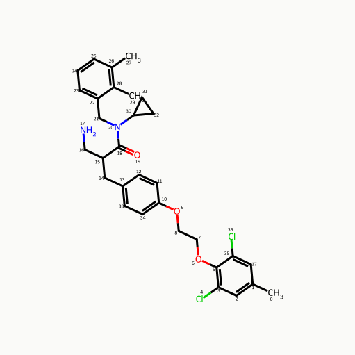 Cc1cc(Cl)c(OCCOc2ccc(CC(CN)C(=O)N(Cc3cccc(C)c3C)C3CC3)cc2)c(Cl)c1